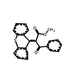 COC(=O)C(C(=O)c1ccccc1)=C1c2ccccc2Sc2ccccc21